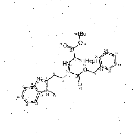 CCCCCCCC(N[C@@H](CCc1nc2ccccc2n1C)C(=O)OCc1ccccc1)C(=O)OC(C)(C)C